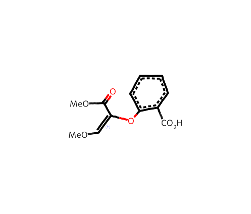 CO/C=C(/Oc1ccccc1C(=O)O)C(=O)OC